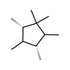 CC1[C@@H](C)C(C)C(C)(C)[C@H]1C